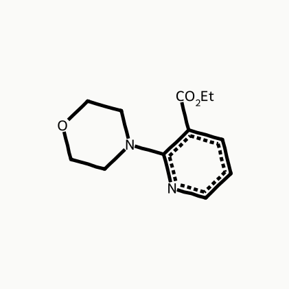 CCOC(=O)c1cccnc1N1CCOCC1